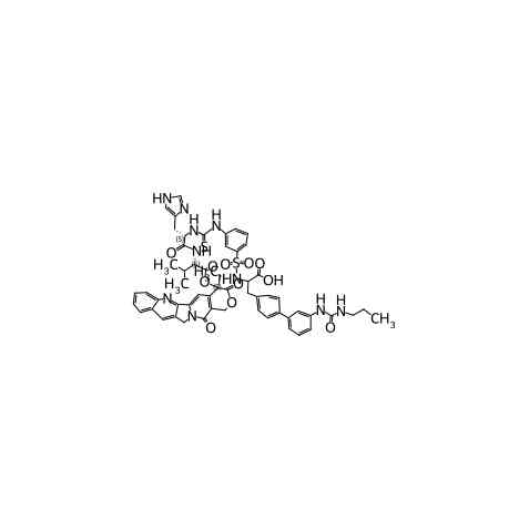 CCCNC(=O)Nc1cccc(-c2ccc(CC(NS(=O)(=O)c3cccc(NC(=S)N[C@@H](Cc4c[nH]cn4)C(=O)N[C@H](C(=O)O[C@]4(CC)C(=O)OCc5c4cc4n(c5=O)Cc5cc6ccccc6nc5-4)C(C)C)c3)C(=O)O)cc2)c1